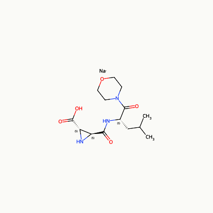 CC(C)C[C@H](NC(=O)[C@H]1N[C@@H]1C(=O)O)C(=O)N1CCOCC1.[Na]